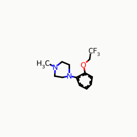 CN1CCN(c2ccccc2OCC(F)(F)F)CC1